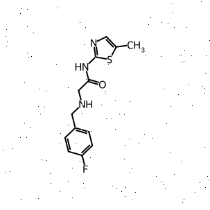 Cc1cnc(NC(=O)CNCc2ccc(F)cc2)s1